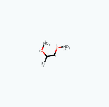 [CH2]CC(CO[N+](=O)[O-])O[N+](=O)[O-]